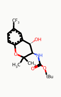 CC(C)(C)OC(=O)N[C@@H]1[C@@H](O)c2cc(C(F)(F)F)ccc2OC1(C)C